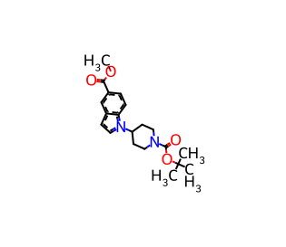 COC(=O)c1ccc2c(ccn2C2CCN(C(=O)OC(C)(C)C)CC2)c1